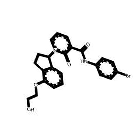 O=C(Nc1ccc(Br)cc1)c1cccn(C2CCc3c(OCCO)cccc32)c1=O